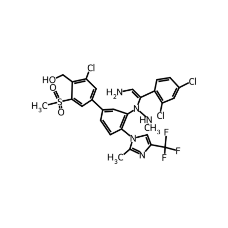 CNN(/C(=C\N)c1ccc(Cl)cc1Cl)c1cc(-c2cc(Cl)c(CO)c(S(C)(=O)=O)c2)ccc1-n1cc(C(F)(F)F)nc1C